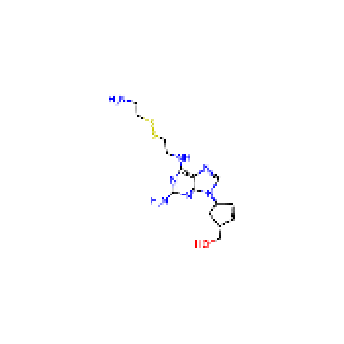 NCCSSCCNc1nc(N)nc2c1ncn2[C@H]1C=C[C@@H](CO)C1